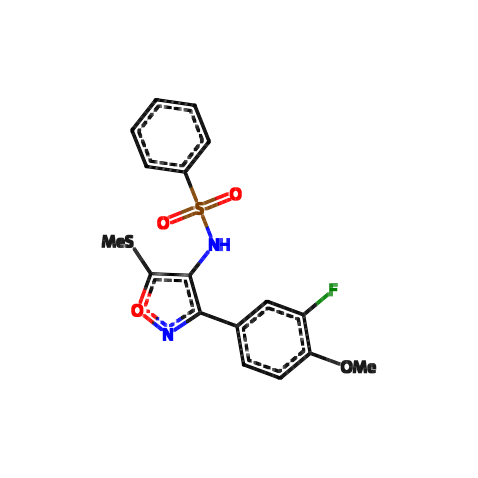 COc1ccc(-c2noc(SC)c2NS(=O)(=O)c2ccccc2)cc1F